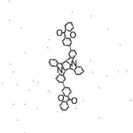 O=c1c2ccccc2oc2cc(-c3ccc4c(c3)c3c5c6ccccc6n6c7ccc(-c8ccc9c(=O)c%10ccccc%10oc9c8)cc7c(c7c8ccccc8n4c73)c56)ccc12